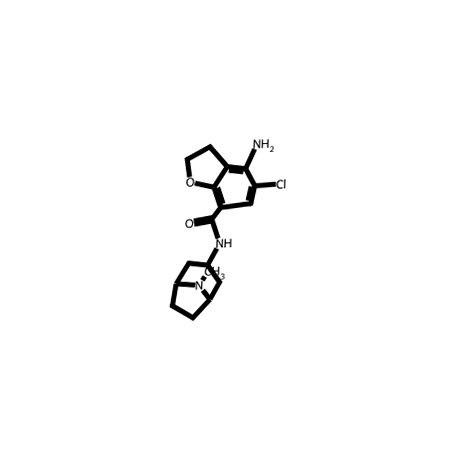 CN1C2CCC1CC(NC(=O)c1cc(Cl)c(N)c3c1OCC3)C2